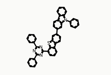 c1ccc(-c2nc(-c3ccccc3)nc(-c3cccc4c3sc3cc(-c5ccc6c7ccccc7n(-c7ccccc7)c6c5)ccc34)n2)cc1